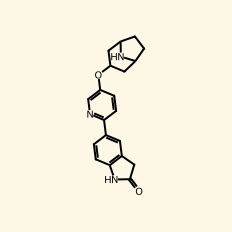 O=C1Cc2cc(-c3ccc(OC4CC5CCC(C4)N5)cn3)ccc2N1